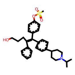 CC(C)N1CCC(c2ccc(/C(=C(/CCCO)c3ccccc3)c3ccc(OS(C)(=O)=O)cc3)cc2)CC1